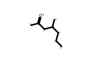 CCCC(C)CC(C)=O